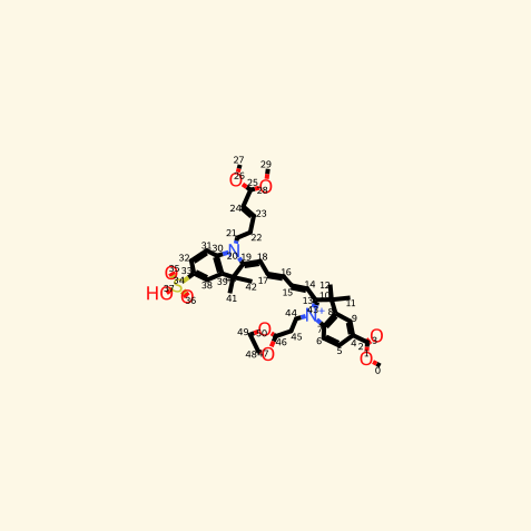 COC(=O)c1ccc2c(c1)C(C)(C)C(/C=C/C=C/C=C1/N(CC/C=C/C(OC)OC)c3ccc(S(=O)(=O)O)cc3C1(C)C)=[N+]2CCC1OCCO1